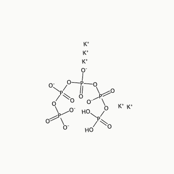 O=P([O-])([O-])OP(=O)([O-])OP(=O)([O-])OP(=O)([O-])OP(=O)(O)O.[K+].[K+].[K+].[K+].[K+]